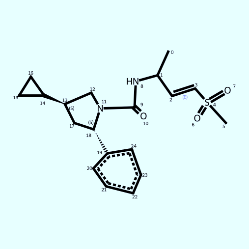 CC(/C=C/S(C)(=O)=O)NC(=O)N1C[C@H](C2CC2)C[C@H]1c1ccccc1